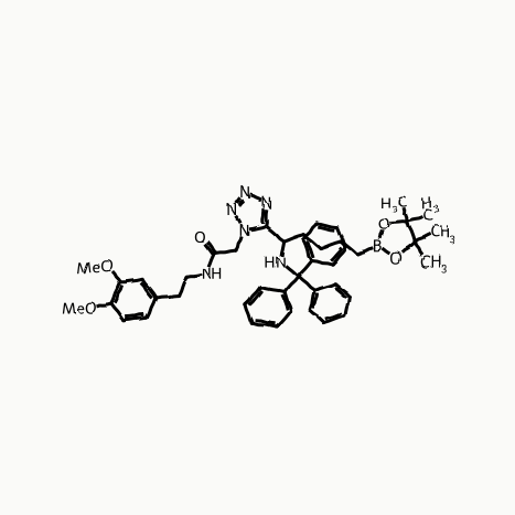 COc1ccc(CCNC(=O)Cn2nnnc2C(CCCCB2OC(C)(C)C(C)(C)O2)NC(c2ccccc2)(c2ccccc2)c2ccccc2)cc1OC